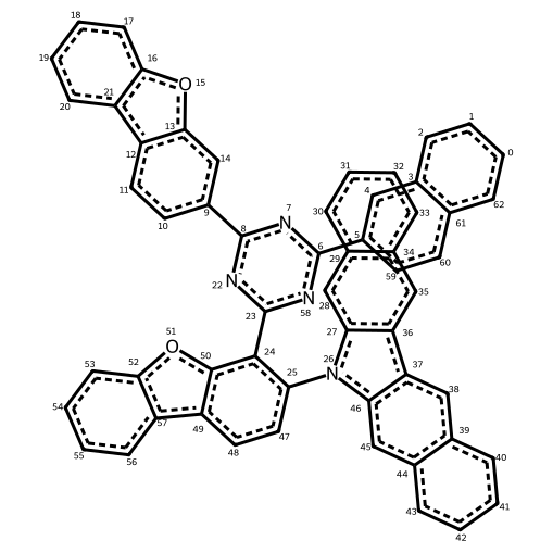 c1ccc2cc(-c3nc(-c4ccc5c(c4)oc4ccccc45)nc(-c4c(-n5c6cc7ccccc7cc6c6cc7ccccc7cc65)ccc5c4oc4ccccc45)n3)ccc2c1